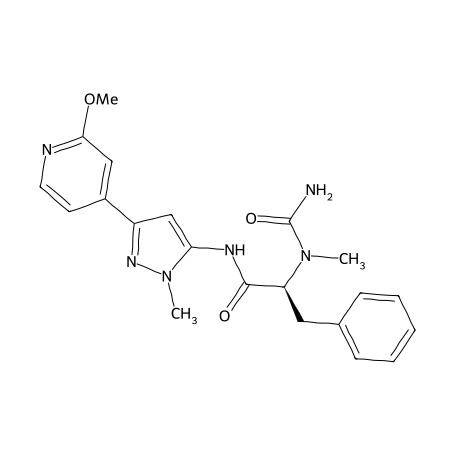 COc1cc(-c2cc(NC(=O)[C@H](Cc3ccccc3)N(C)C(N)=O)n(C)n2)ccn1